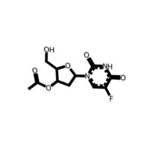 CC(=O)OC1CC(n2cc(F)c(=O)[nH]c2=O)OC1CO